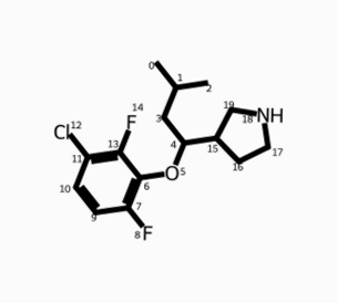 CC(C)CC(Oc1c(F)ccc(Cl)c1F)C1CCNC1